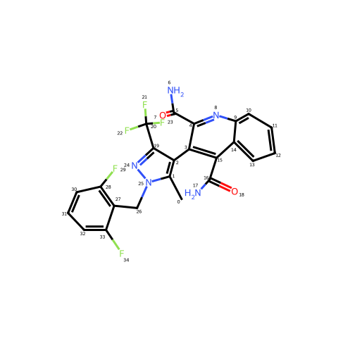 Cc1c(-c2c(C(N)=O)nc3ccccc3c2C(N)=O)c(C(F)(F)F)nn1Cc1c(F)cccc1F